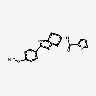 COc1ccc(-c2nc3cc(NC(=O)c4cccs4)ccc3[nH]2)cc1